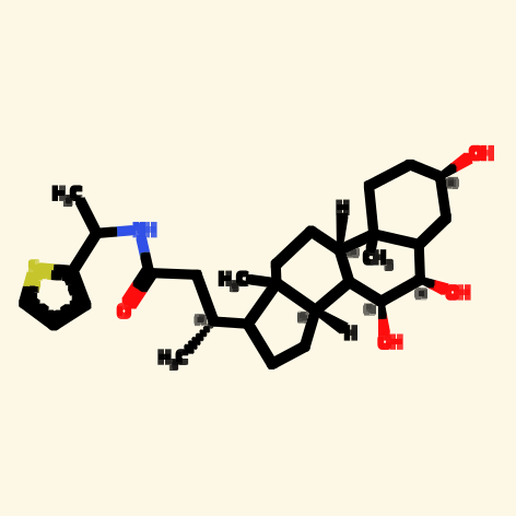 CC(NC(=O)C[C@@H](C)C1CC[C@H]2C3[C@H](O)[C@H](O)C4C[C@H](O)CCC4(C)[C@H]3CCC12C)c1cccs1